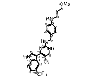 CNCCCNc1ccc(CNC2=NC(c3c[nH]c4ncc(C(F)(F)F)cc34)=C(C#N)CN2)cc1